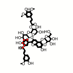 COc1cc(/C=C/C(=O)OCC2O[C@@H](Oc3cc4c(O[C@@H]5OC(CO)[C@@H](O)[C@H](O)C5O)cc(O)cc4[o+]c3-c3ccc(O)c(O)c3)[C@H](O[C@@H]3OC[C@@H](O)[C@H](O)C3OC(=O)/C=C/c3cc(OC)c(O)c(OC)c3)C(O)[C@@H]2O)ccc1O